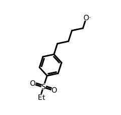 CCS(=O)(=O)c1ccc(CCCC[O])cc1